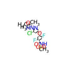 COC(C)(C)CNc1ncc(Oc2cc(F)c(C(=O)NS(C)(=O)=O)cc2F)cc1Cl